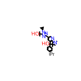 CC(C)c1ccc([C@](O)(c2cncc(-c3nc(C(C)(C)O)n(C4CC4)n3)c2)C2(C)CN(C)C2)cc1